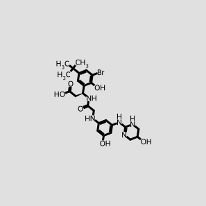 CC(C)(C)c1cc(Br)c(O)c([C@H](CC(=O)O)NC(=O)CNc2cc(O)cc(NC3=NCC(O)CN3)c2)c1